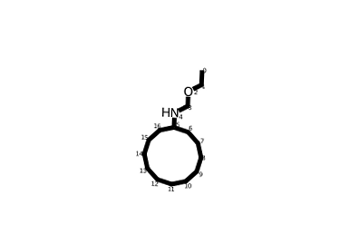 CCO[CH]NC1CCCCCCCCCCC1